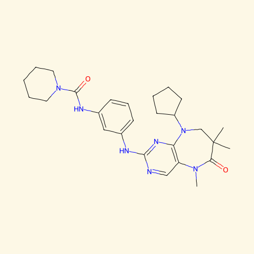 CN1C(=O)C(C)(C)CN(C2CCCC2)c2nc(Nc3cccc(NC(=O)N4CCCCC4)c3)ncc21